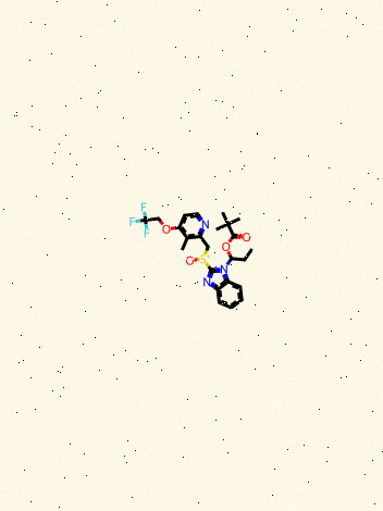 CCC(OC(=O)C(C)(C)C)n1c([S+]([O-])Cc2nccc(OCC(F)(F)F)c2C)nc2ccccc21